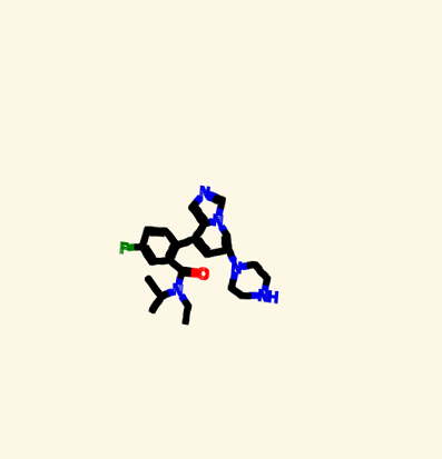 CCN(C(=O)c1cc(F)ccc1-c1cc(N2CCNCC2)cn2cncc12)C(C)C